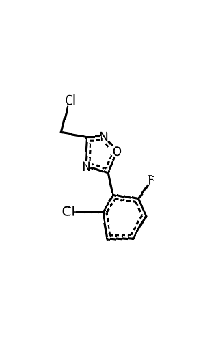 Fc1cccc(Cl)c1-c1nc(CCl)no1